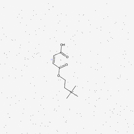 C[N+](C)(C)CCOC(=O)/C=C\C(=O)O